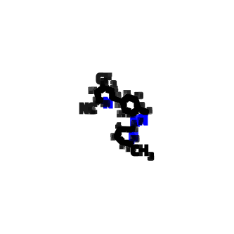 Cc1cccc(-n2ncc3ccc(-c4cc(C(F)(F)F)cc(C#N)n4)cc32)n1